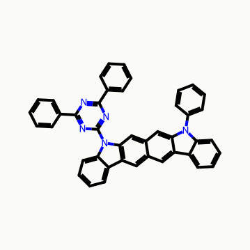 c1ccc(-c2nc(-c3ccccc3)nc(-n3c4ccccc4c4cc5cc6c7ccccc7n(-c7ccccc7)c6cc5cc43)n2)cc1